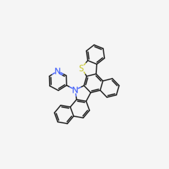 c1cncc(-n2c3c4ccccc4ccc3c3c4ccccc4c4c5ccccc5sc4c32)c1